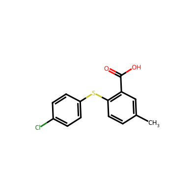 Cc1ccc(Sc2ccc(Cl)cc2)c(C(=O)O)c1